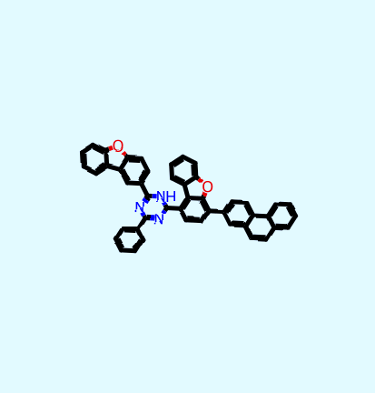 c1ccc(C2=NC(c3ccc(-c4ccc5c(ccc6ccccc65)c4)c4oc5ccccc5c34)NC(c3ccc4oc5ccccc5c4c3)=N2)cc1